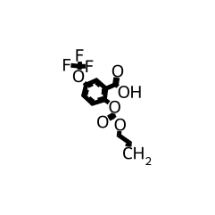 C=CCOC(=O)Oc1ccc(OC(F)(F)F)cc1C(=O)O